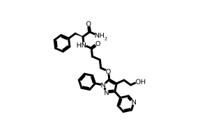 NC(=O)[C@H](Cc1ccccc1)NC(=O)CCCOc1c(CCO)c(-c2cccnc2)nn1-c1ccccc1